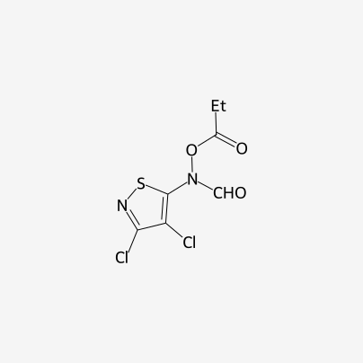 CCC(=O)ON(C=O)c1snc(Cl)c1Cl